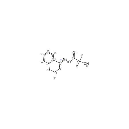 CC1C/C(=N\OC(=O)C(C)(C)O)c2ccccc2S1